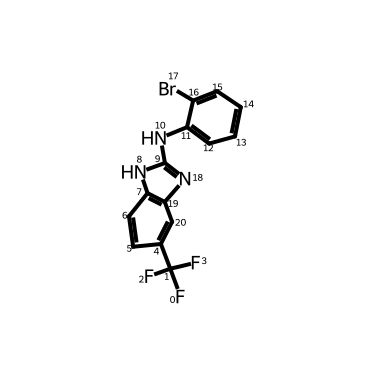 FC(F)(F)c1ccc2[nH]c(Nc3ccccc3Br)nc2c1